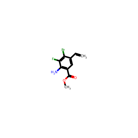 C=Cc1cc(C(=O)OC)c(N)c(F)c1Br